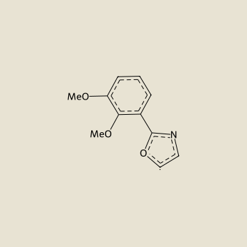 COc1cccc(-c2nc[c]o2)c1OC